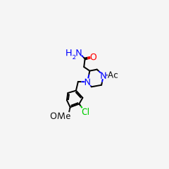 COc1ccc(CN2CCN(C(C)=O)CC2CC(N)=O)cc1Cl